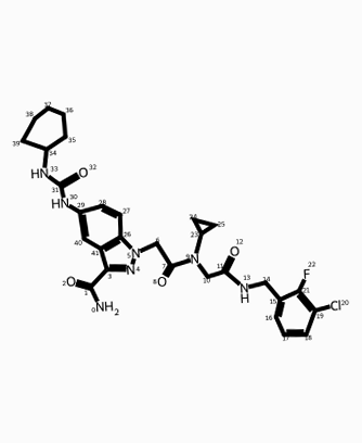 NC(=O)c1nn(CC(=O)N(CC(=O)NCc2cccc(Cl)c2F)C2CC2)c2ccc(NC(=O)NC3CCCCC3)cc12